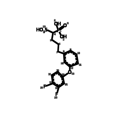 O=P(O)(O)C(CCCc1cccc(Oc2ccc(F)c(F)c2)c1)S(=O)(=O)O